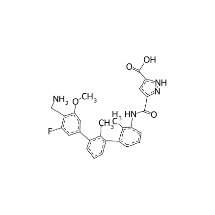 COc1cc(-c2cccc(-c3cccc(NC(=O)c4cc(C(=O)O)[nH]n4)c3C)c2C)cc(F)c1CN